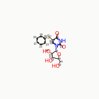 O=c1[nH]c(=O)n([C@H]2O[C@@H](CO)C(O)C2O)cc1Sc1ccccc1